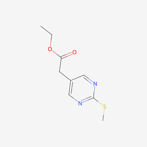 CCOC(=O)Cc1cnc(SC)nc1